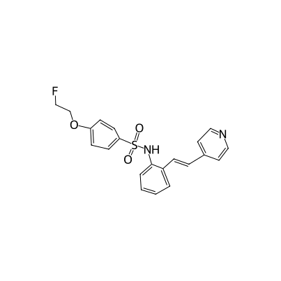 O=S(=O)(Nc1ccccc1/C=C/c1ccncc1)c1ccc(OCCF)cc1